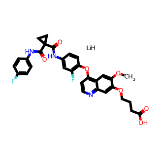 COc1cc2c(Oc3ccc(NC(=O)C4(C(=O)Nc5ccc(F)cc5)CC4)cc3F)ccnc2cc1OCCCC(=O)O.[LiH]